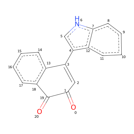 O=C1C=C(c2c[nH]c3ccccc23)c2ccccc2C1=O